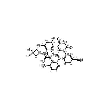 Cc1ccccc1[C@@H](C(=O)NC1CC(F)(F)C1)N(C(=O)[C@@H]1CN(C)CC(=O)N1c1cc(C#N)ccn1)c1cc(F)cc(F)c1